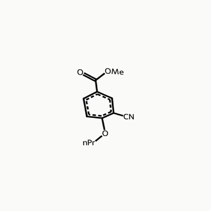 CCCOc1ccc(C(=O)OC)cc1C#N